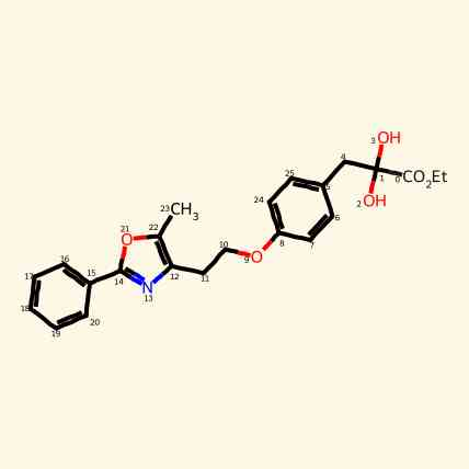 CCOC(=O)C(O)(O)Cc1ccc(OCCc2nc(-c3ccccc3)oc2C)cc1